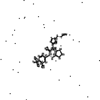 CC(C)CCn1ccc(NC(=O)[C@H](CC2CCCC2)c2ccc(S(C)(=O)=O)c(Cl)c2)n1